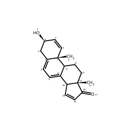 C[C@]12C=C[C@H](O)CC1=CC=C1C2CC[C@]2(C)C(=O)C=CC12